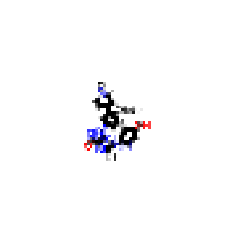 CCc1nc(C(N)=O)c(Nc2ccc(OC)c(C3CCN(C)CC3)c2)nc1N[C@H]1CC[C@H](O)CC1